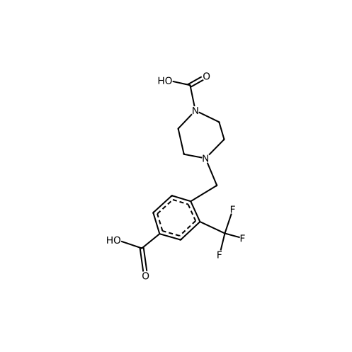 O=C(O)c1ccc(CN2CCN(C(=O)O)CC2)c(C(F)(F)F)c1